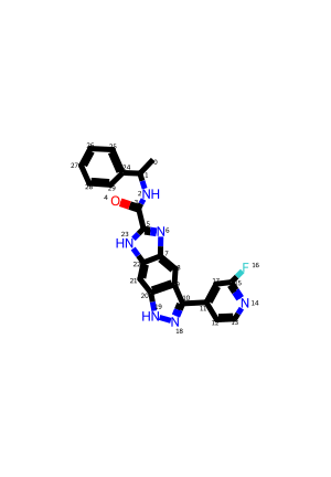 CC(NC(=O)c1nc2cc3c(-c4ccnc(F)c4)n[nH]c3cc2[nH]1)c1ccccc1